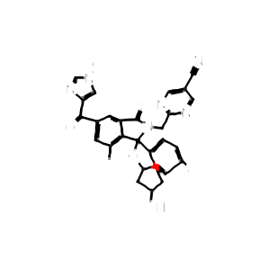 Cn1cnc(C(=O)c2cc(F)c3c(c2)C(=O)N(Cc2ncc(C#N)cn2)C3(OC2CCC(O)C2)c2ccc(Cl)cc2)c1